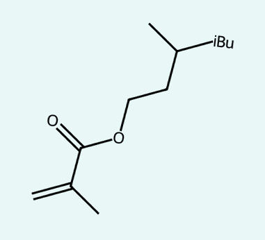 C=C(C)C(=O)OCCC(C)C(C)CC